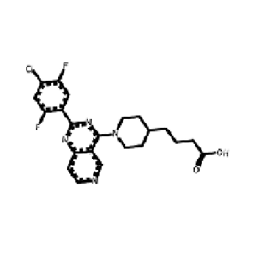 O=C(O)CCCC1CCN(c2nc(-c3cc(F)c(Cl)cc3F)nc3ccncc23)CC1